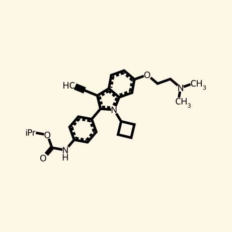 C#Cc1c(-c2ccc(NC(=O)OC(C)C)cc2)n(C2CCC2)c2cc(OCCN(C)C)ccc12